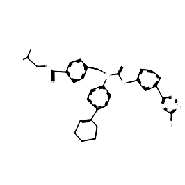 CC(C)c1noc(-c2cccc(NC(=O)N(Cc3ccc(C(=O)NCC(F)C(=O)O)cc3)c3ccc(C4=CCCCC4)cc3)c2)n1